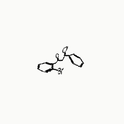 O=C(CC(=O)c1ccccc1Br)c1ccccc1